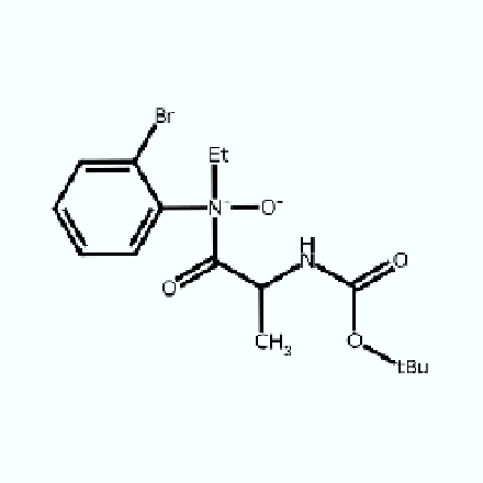 CC[N+]([O-])(C(=O)C(C)NC(=O)OC(C)(C)C)c1ccccc1Br